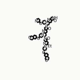 CCc1cc2c(nc1N1CCC(Oc3ccc4c(c3)COCC4)CC1)CN(CCc1cc3c(nc1N1CCC(Oc4ccc5c(c4)CCOC5)CC1)CN(CCc1cc4c(nc1N1CCC(Oc5cccnc5)CC1)CNC4=O)C3=O)C2=O